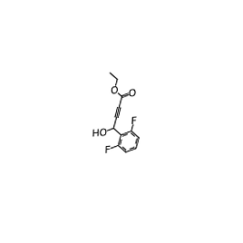 CCOC(=O)C#CC(O)c1c(F)cccc1F